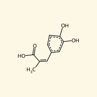 CC(=Cc1ccc(O)c(O)c1)C(=O)O